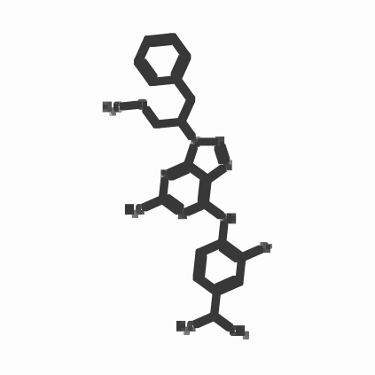 COCC(Cc1ccccc1)n1nnc2c(Nc3ccc(C(C)C)cc3Br)nc(C)nc21